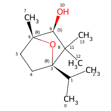 CC(C)[C@@]12CC[C@@](C)(O1)[C@@H](O)C2(C)C